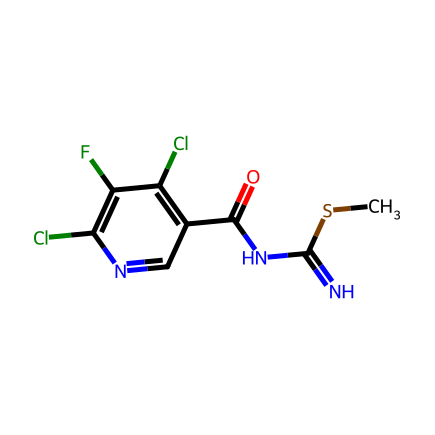 CSC(=N)NC(=O)c1cnc(Cl)c(F)c1Cl